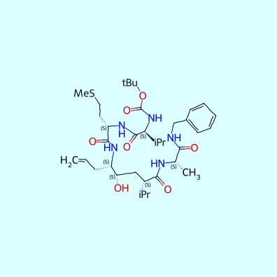 C=CC[C@H](NC(=O)[C@H](CCSC)NC(=O)[C@@H](NC(=O)OC(C)(C)C)C(C)C)[C@@H](O)C[C@H](C(=O)N[C@@H](C)C(=O)NCc1ccccc1)C(C)C